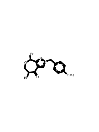 COc1ccc(Cn2cc3c(n2)C(C(C)C)OCC(Br)C3=O)cc1